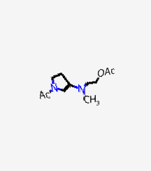 CC(=O)OCCN(C)C1CCN(C(C)=O)C1